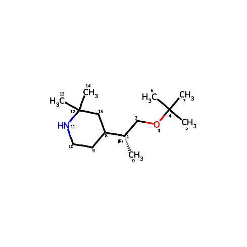 C[C@@H](COC(C)(C)C)C1CCNC(C)(C)C1